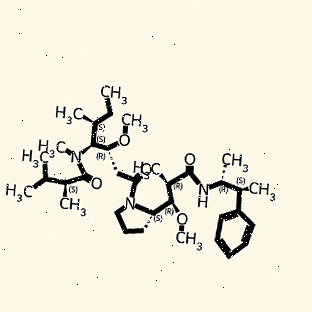 CC[C@H](C)[C@@H]([C@@H](CC(=O)N1CCC[C@H]1[C@H](OC)[C@@H](C)C(=O)N[C@H](C)[C@@H](C)c1ccccc1)OC)N(C)C(=O)[C@@H](C)C(C)C